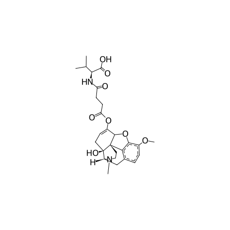 COc1ccc2c3c1OC1C(OC(=O)CCC(=O)N[C@H](C(=O)O)C(C)C)=CC[C@@]4(O)[C@@H](C2)N(C)CC[C@]314